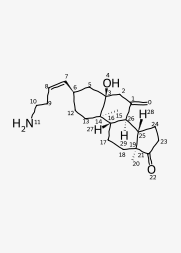 C=C1C[C@@]2(O)C[C@H](/C=C\CCN)CC[C@]2(C)[C@H]2CC[C@]3(C)C(=O)CC[C@H]3[C@H]12